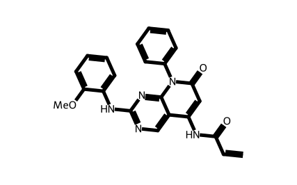 C=CC(=O)Nc1cc(=O)n(-c2ccccc2)c2nc(Nc3ccccc3OC)ncc12